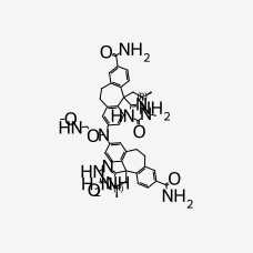 CONCON(c1ccc2c(c1)CCc1cc(C(N)=O)ccc1C2(C[C@@H](C)N)c1n[nH]c(=O)[nH]1)c1ccc2c(c1)CCc1cc(C(N)=O)ccc1C2(C[C@@H](C)N)c1nn(C)c(=O)[nH]1